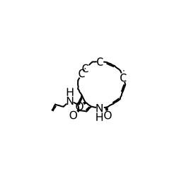 C=CCNC1=C2CCCCCCC=C[CH]CC=CC=CC(=O)NC(=CC1=O)C2=O